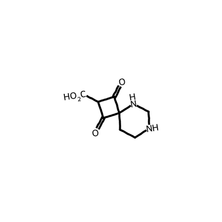 O=C(O)C1C(=O)C2(CCNCN2)C1=O